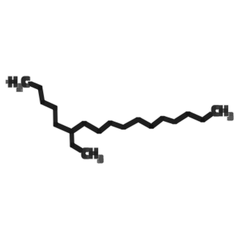 [CH2]CCCCC(CC)CCCCCCCCCCC